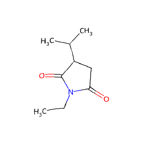 CCN1C(=O)CC(C(C)C)C1=O